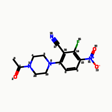 CC(=O)N1CCN(c2ccc([N+](=O)[O-])c(F)c2C#N)CC1